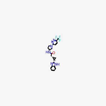 O=C(C[C@@H]1C[C@@H]1c1nc2ccccc2[nH]1)N[C@@H]1CCN(c2ccc(C(F)(F)F)nn2)C1